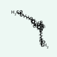 C=CC(=O)OCCCCCCOc1ccc(C(=O)Oc2ccc(OCCCCCCOC(=O)C=C)c(C(F)(F)F)c2C(F)(F)F)cc1